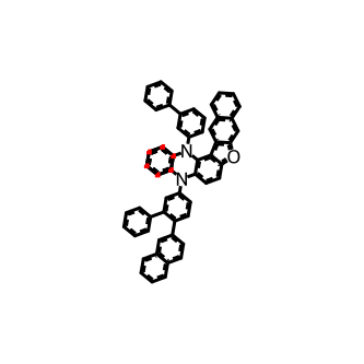 c1ccc(-c2cccc(N(c3ccccc3)c3c(N(c4ccccc4)c4ccc(-c5ccc6ccccc6c5)c(-c5ccccc5)c4)ccc4oc5cc6ccccc6cc5c34)c2)cc1